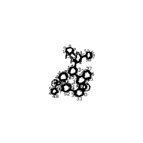 N/C(=C\C(=N/CC1=CCCC=C1)c1cccc(-c2cc3c4c(oc3c3ccccc23)CCC=C4c2ccc(P(=O)(c3ccccc3)C3C=CC=C3)cc2)c1)C1=CC=CC1